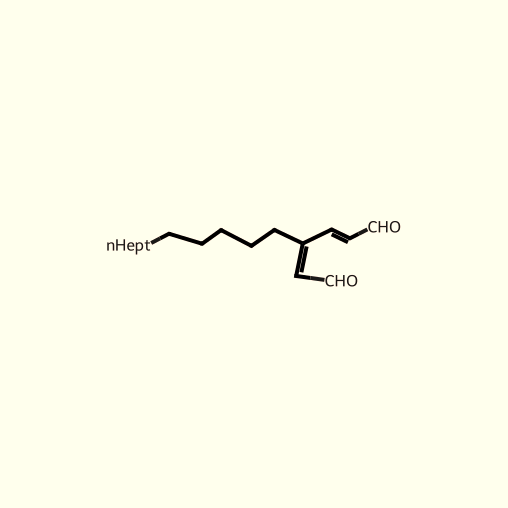 CCCCCCCCCCCCC(C=CC=O)=CC=O